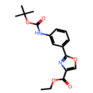 CCOC(=O)c1coc(-c2cccc(NC(=O)OC(C)(C)C)c2)n1